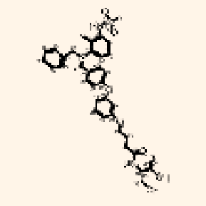 Cc1c(NS(C)(=O)=O)cccc1N(Cc1ccccc1)Cc1ccc(Oc2cccc(OCCCC(=O)N[C@@H](CO)C(=O)O)c2)cc1